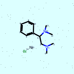 CN(C)CC(c1ccccc1)N(C)C.[Br].[Ni]